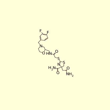 NC(=O)CC1(C(N)=O)CSC(SCC(=O)NCC2CN(Cc3ccc(F)c(F)c3)CCO2)=N1